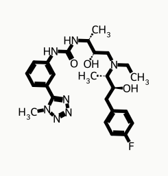 CCN(C[C@H](O)[C@@H](C)NC(=O)Nc1cccc(-c2nnnn2C)c1)[C@@H](C)[C@@H](O)Cc1ccc(F)cc1